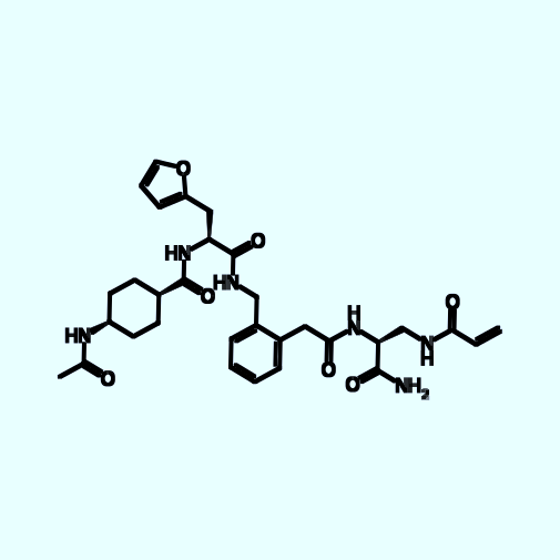 C=CC(=O)NC[C@H](NC(=O)Cc1ccccc1CNC(=O)[C@H](Cc1ccco1)NC(=O)[C@H]1CC[C@@H](NC(C)=O)CC1)C(N)=O